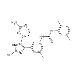 CC(C)(C)c1nc(-c2cc(F)cc(NC(=O)Nc3cc(F)ccc3F)c2)c(-c2ccnc(N)n2)[nH]1